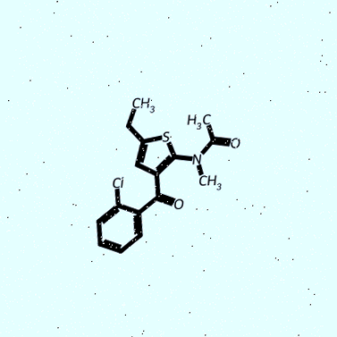 CCc1cc(C(=O)c2ccccc2Cl)c(N(C)C(C)=O)s1